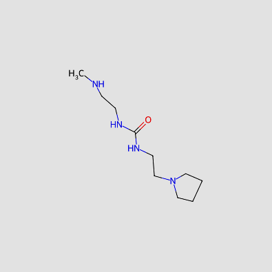 CNCCNC(=O)NCCN1CCCC1